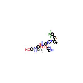 CC1(C)CCC(CN2CCN(c3ccc(C(=O)NS(=O)(=O)c4ccc(NC[C@H]5CC[C@](C)(O)CC5)c([N+](=O)[O-])c4)c(Oc4cnc5[nH]ccc5c4)c3)CC2)=C(c2cc(-c3ccc(F)c(F)c3F)cs2)C1